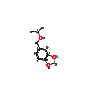 CC(C)OCc1ccc2c(c1)OCO2